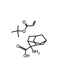 C=CC(=O)OC(C)(C)C.NC1(C(=O)O)C2CC3CC(C2)CC1C3